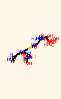 Nc1nc(=O)n(C2CC(O)C(COP(=O)(O)OP(=O)(O)OP(=O)(O)O)O2)cc1C#CCNC(=O)CCSSCCCC(NC(=O)CCCC#C[C@@H]1SC[C@@H]2NC(=O)N[C@@H]21)C(=O)NC(CC(=O)O)C(=O)NC(CC(=O)O)C(=O)O